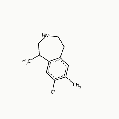 Cc1cc2c(cc1Cl)C(C)CNCC2